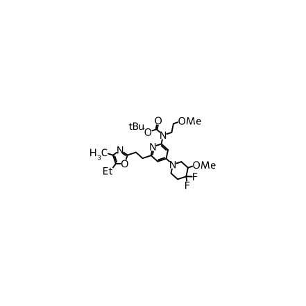 CCc1oc(CCc2cc(N3CCC(F)(F)C(OC)C3)cc(N(CCOC)C(=O)OC(C)(C)C)n2)nc1C